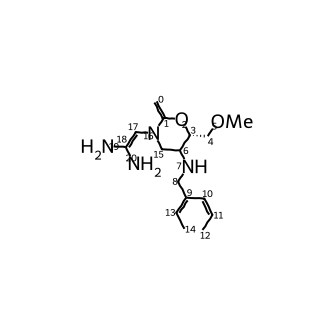 C=C1O[C@H](COC)C(NCC(/C=C\C)=C/C)CN1C=C(N)N